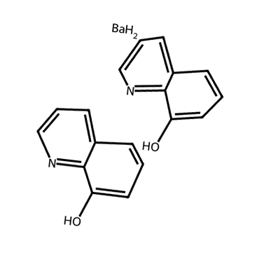 Oc1cccc2cccnc12.Oc1cccc2cccnc12.[BaH2]